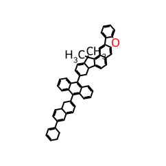 CC1(C)C2=CC=C(c3c4ccccc4c(C4=CC=C5C=C(C6=CC=CCC6)C=CC5C4)c4ccccc34)CC2c2ccc3cc4oc5ccccc5c4cc3c21